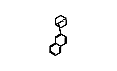 c1ccc2cc(C3CN4CCC3CC4)ccc2c1